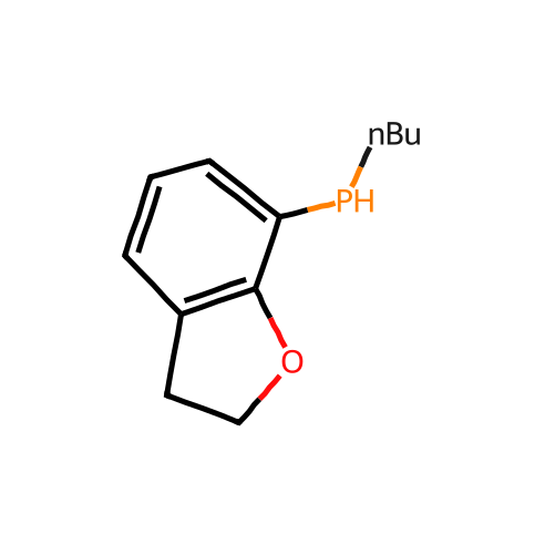 CCCCPc1cccc2c1OCC2